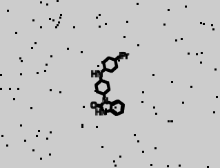 CC(C)C1CCC(NC2CCC(n3c(=O)[nH]c4ccccc43)CC2)CC1